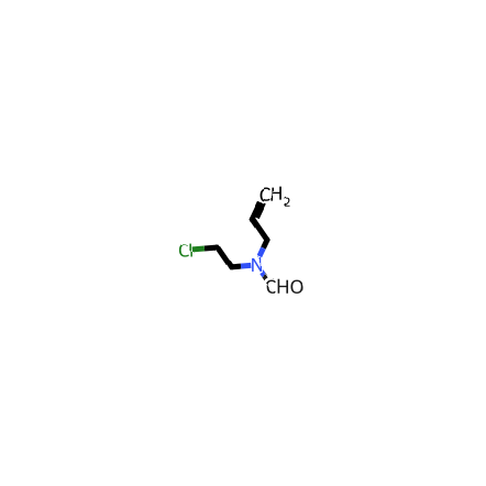 C=CCN(C=O)CCCl